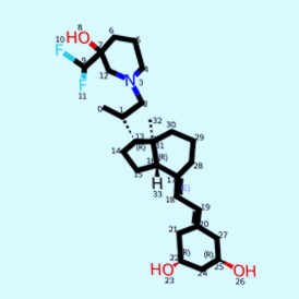 CC(CN1CCCC(O)(C(F)F)C1)[C@H]1CC[C@H]2/C(=C/C=C3C[C@@H](O)C[C@H](O)C3)CCC[C@]12C